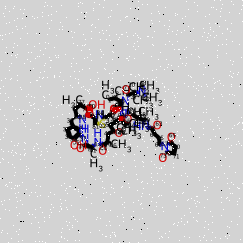 CC[C@H](C)[C@H](NC(=O)C(C)(C)N(C)C)C(=O)N(C)[C@H](C[C@@H](OC)c1nc(C(=O)N[C@@H](Cc2ccc(O)c(NC(=O)[C@H](C)NC(=O)[C@H](C)CC(=O)CC(C)(C)COCC(C)(C)CNC(=O)CCCN3C(=O)C=CC3=O)c2)C[C@H](C)C(=O)O)cs1)C(C)C